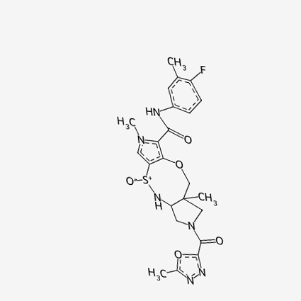 Cc1nnc(C(=O)N2CC3N[S+]([O-])c4cn(C)c(C(=O)Nc5ccc(F)c(C)c5)c4OCC3(C)C2)o1